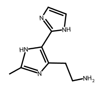 Cc1nc(CCN)c(-c2ncc[nH]2)[nH]1